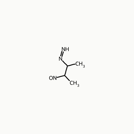 CC(N=N)C(C)N=O